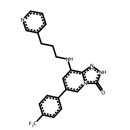 O=c1[nH]nc2c(NCCCc3cccnc3)cc(-c3ccc(C(F)(F)F)cc3)cn12